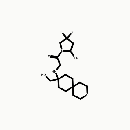 N#CC1CC(F)(F)CN1C(=O)CNC1(CO)CCC2(CCOCC2)CC1